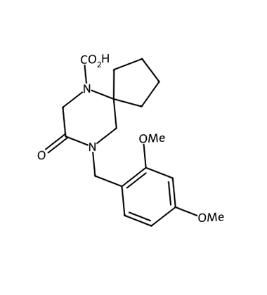 COc1ccc(CN2CC3(CCCC3)N(C(=O)O)CC2=O)c(OC)c1